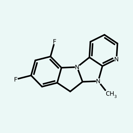 CN1c2ncccc2N2c3c(F)cc(F)cc3CC12